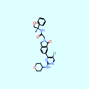 C[C@](CO)(NC(=O)CN1Cc2ccc(-c3nc(NC4CCOCC4)ncc3Cl)cc2C1=O)c1ccccc1